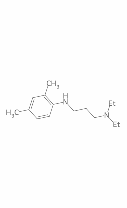 CCN(CC)CCCNc1ccc(C)cc1C